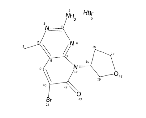 Br.Cc1nc(N)nc2c1cc(Br)c(=O)n2[C@@H]1CCOC1